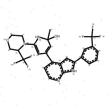 CC1(O)C=C(c2ccnc3[nH]c(-c4cccc(C(F)(F)F)c4)cc23)C=C(N2CCOCC2C(F)(F)F)N1